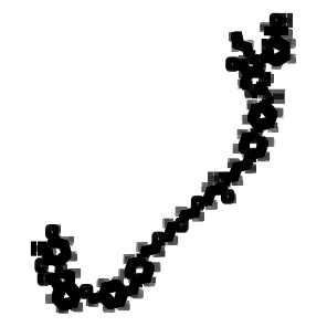 C=CCn1c(=O)c2cnc(Nc3ccc(N4CCN(CCCNC(=O)CCOCCOCCOCCN5CCN(Cc6ccc(COc7cccc8c7CN([C@H]7CCC(=O)NC7=O)C8=O)cc6)CC5)CC4)cc3)nc2n1-c1cccc(C(C)(C)O)n1